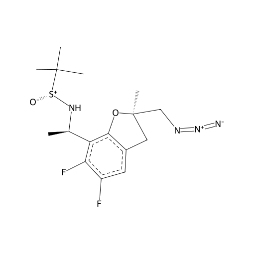 C[C@@H](N[S@+]([O-])C(C)(C)C)c1c(F)c(F)cc2c1O[C@@](C)(CN=[N+]=[N-])C2